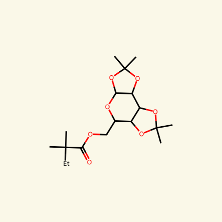 CCC(C)(C)C(=O)OCC1OC2OC(C)(C)OC2C2OC(C)(C)OC12